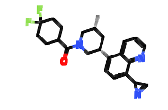 C[C@@H]1C[C@H](c2ccc(C3C=N3)c3ncccc23)CN(C(=O)C2CCC(F)(F)CC2)C1